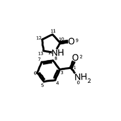 NC(=O)c1ccccc1.O=C1CCCN1